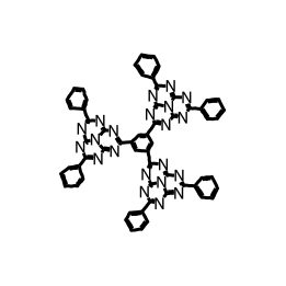 c1ccc(C2=NC3=NC(c4ccccc4)=NC4=NC(c5cc(C6=NC7=NC(c8ccccc8)=NC8=NC(c9ccccc9)=NC(=N6)N87)cc(C6=NC7=NC(c8ccccc8)=NC8=NC(c9ccccc9)=NC(=N6)N87)c5)=NC(=N2)N34)cc1